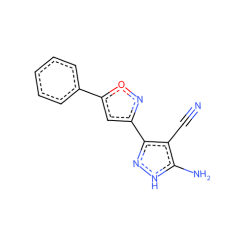 N#Cc1c(-c2cc(-c3ccccc3)on2)n[nH]c1N